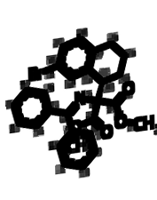 COC(=O)C(N=C(c1ccccc1)c1ccccc1)(C(=O)OC)[C@@H]1CCCc2ccc(Br)cc21